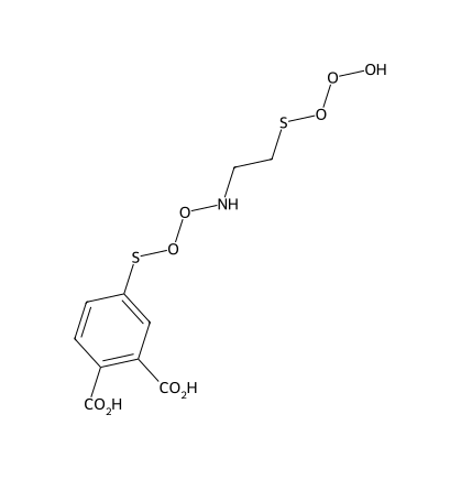 O=C(O)c1ccc(SOONCCSOOO)cc1C(=O)O